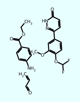 C=CC=O.CCOC(=O)c1ccc(N)cc1.COc1cc(-c2ccc(=O)[nH]n2)ccc1OC(F)F